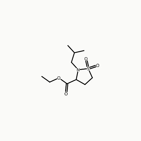 CCOC(=O)C1CCS(=O)(=O)N1CC(C)C